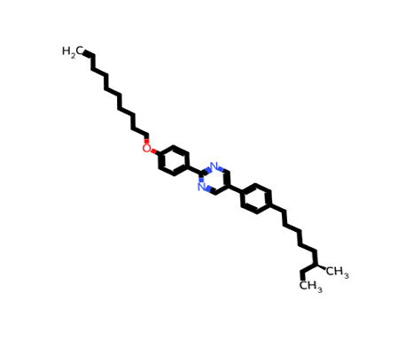 C=CCCCCCCCCOc1ccc(-c2ncc(-c3ccc(CCCCC[C@@H](C)CC)cc3)cn2)cc1